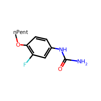 CCCCCOc1ccc(NC(N)=O)cc1F